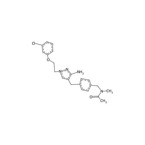 CC(=O)N(C)Cc1ccc(Cc2cn(CCOc3cccc(Cl)c3)nc2N)cc1